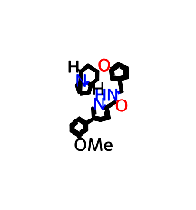 COc1cccc(-c2ccc(C(=O)NCc3cccc(O[C@H]4C[C@H]5CC6CN5[C@@H]6C4)c3)nc2)c1